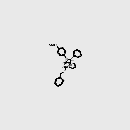 COc1ccc(N2C(=O)[C@]3(CCCN3C(=O)OCc3ccccc3)[C@H]2c2ccccc2)cc1